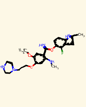 CNc1cc(OCCN2CCNCC2)c(OC)cc1C(=N)Oc1ccc2[nH]c(C)cc2c1F